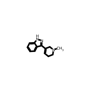 CN1CCC=C(c2n[nH]c3ccccc23)C1